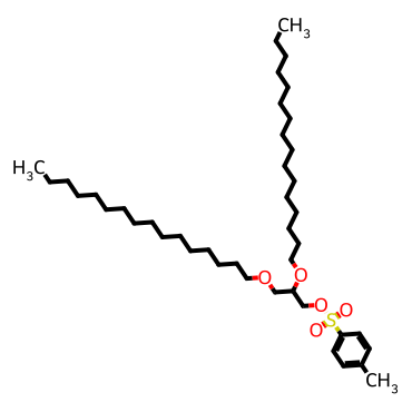 CCCCCCCCCCCCCCCCOCC(COS(=O)(=O)c1ccc(C)cc1)OCCCCCCCCCCCCCCCC